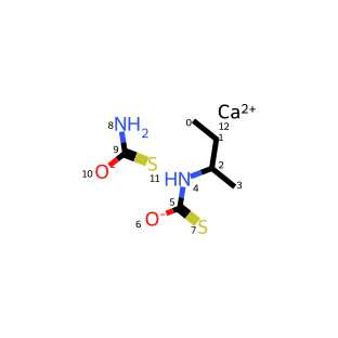 CCC(C)NC([O-])=S.NC([O-])=S.[Ca+2]